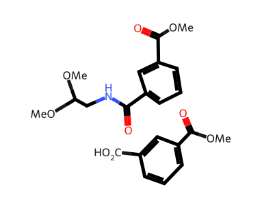 COC(=O)c1cccc(C(=O)NCC(OC)OC)c1.COC(=O)c1cccc(C(=O)O)c1